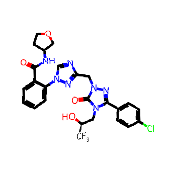 O=C(NC1CCOC1)c1ccccc1-n1cnc(Cn2nc(-c3ccc(Cl)cc3)n(C[C@H](O)C(F)(F)F)c2=O)n1